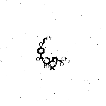 CC(C)CCOc1ccc(C(=O)N2CCC3(CC2)NC(C)(C)Cn2c(C(=O)C(F)(F)F)ccc23)cc1